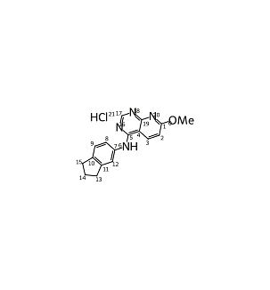 COc1ccc2c(Nc3ccc4c(c3)CCC4)ncnc2n1.Cl